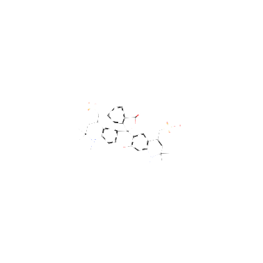 CN1c2cc3c(cc2C(CS(=O)(=O)O)=CC1(C)C)C1(OC(=O)c2ccccc21)c1cc2c(cc1O3)N(C)C(C)(C)CC2CS(=O)(=O)O